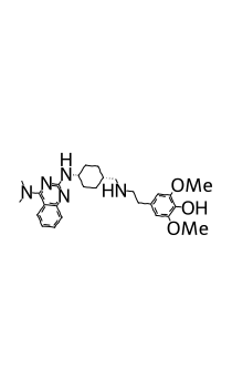 COc1cc(CCNC[C@H]2CC[C@@H](Nc3nc(N(C)C)c4ccccc4n3)CC2)cc(OC)c1O